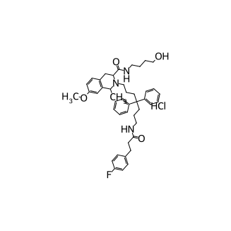 COc1ccc2c(c1)C(C)N(CCCC(CCCNC(=O)CCc1ccc(F)cc1)(c1ccccc1)c1ccccc1)C(C(=O)NCCCCO)C2.Cl